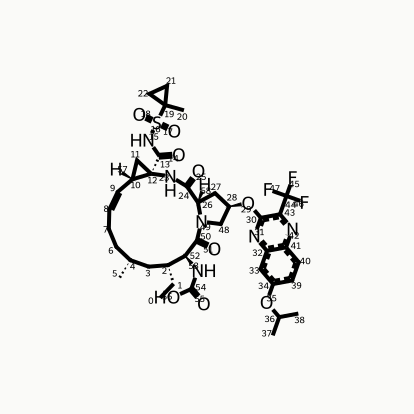 CC[C@@H]1C[C@H](C)CC/C=C\[C@@H]2C[C@@]2(C(=O)NS(=O)(=O)C2(C)CC2)NC(=O)[C@@H]2C[C@@H](Oc3nc4cc(OC(C)C)ccc4nc3C(F)(F)F)CN2C(=O)[C@H]1NC(=O)O